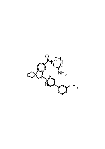 Cc1cccc(-c2cnc(N3CC4(COC4)c4ccc(C(=O)N(C)CC(N)=O)cc43)nc2)c1